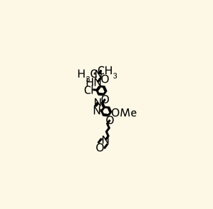 COc1cc2c(Oc3ccc(NC(=O)N(C)C)c(Cl)c3)ncnc2cc1OCCCCN1CCOCC1